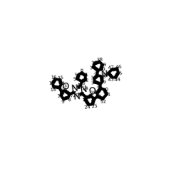 c1ccc(-c2nc(-c3cccc4c3oc3ccccc34)nc(-c3cccc4c3oc3c(-c5ccc6c7ccccc7n(-c7ccccc7)c6c5)cccc34)n2)cc1